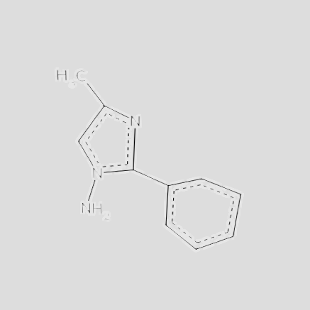 Cc1cn(N)c(-c2ccccc2)n1